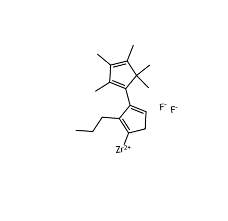 CCCC1=[C]([Zr+2])CC=C1C1=C(C)C(C)=C(C)C1(C)C.[F-].[F-]